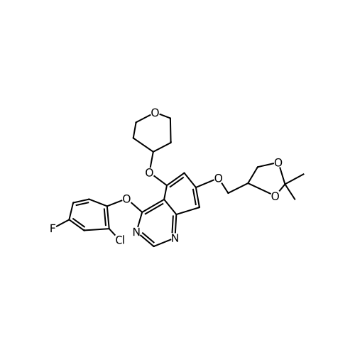 CC1(C)OCC(COc2cc(OC3CCOCC3)c3c(Oc4ccc(F)cc4Cl)ncnc3c2)O1